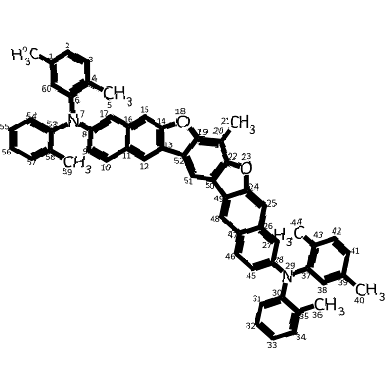 Cc1ccc(C)c(N(c2ccc3cc4c(cc3c2)oc2c(C)c3oc5cc6cc(N(c7ccccc7C)c7cc(C)ccc7C)ccc6cc5c3cc24)c2ccccc2C)c1